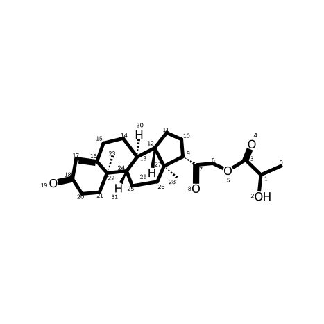 CC(O)C(=O)OCC(=O)[C@H]1CC[C@H]2[C@@H]3CCC4=CC(=O)CC[C@]4(C)[C@H]3CC[C@]12C